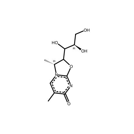 Cc1cn2c(nc1=O)OC(C(O)[C@H](O)CO)[C@H]2C